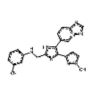 Cn1ccc(-c2nc(CNc3cccc(C#N)c3)[nH]c2-c2ccc3ncnn3c2)n1